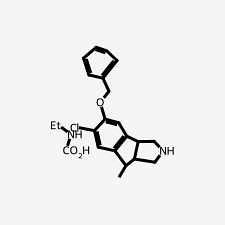 CC1c2cc(Cl)c(OCc3ccccc3)cc2C2CNCC12.CCNC(=O)O